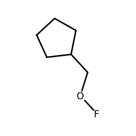 FOCC1CCCC1